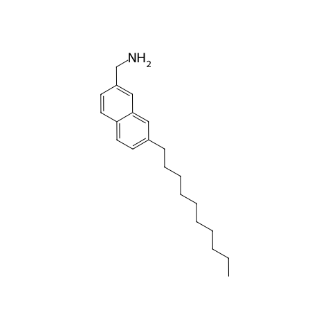 CCCCCCCCCCc1ccc2ccc(CN)cc2c1